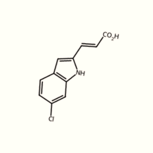 O=C(O)C=Cc1cc2ccc(Cl)cc2[nH]1